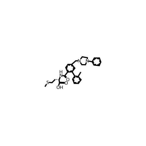 CSCC[C@H](NC(=O)c1ccc(CN2CCN(c3ccccc3)CC2)cc1-c1ccccc1C)C(=O)O